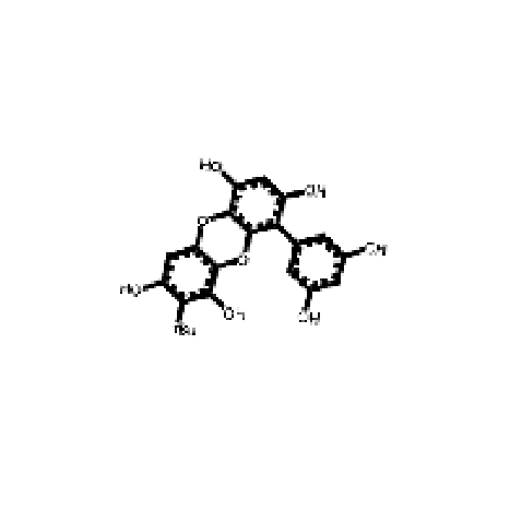 CC(C)(C)c1c(O)cc2c(c1O)Oc1c(c(O)cc(O)c1-c1cc(O)cc(O)c1)O2